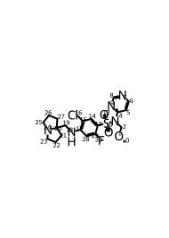 COCN(c1ccncn1)S(=O)(=O)c1cc(Cl)c(NCC23CCCN2CCC3)cc1F